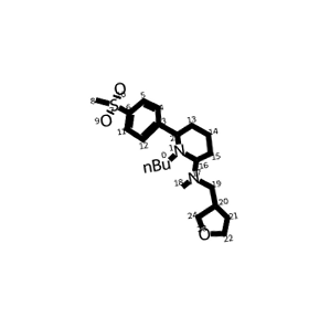 CCCCN1C(c2ccc(S(C)(=O)=O)cc2)CCCC1N(C)CC1CCOC1